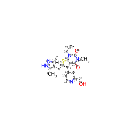 Cc1n[nH]c(C)c1Cc1sc2c(c1-c1ccnc(CO)c1)c(=O)n(C)c(=O)n2CC(C)C